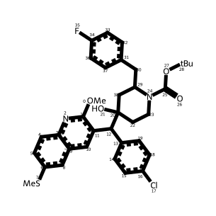 COc1nc2ccc(SC)cc2cc1C(c1ccc(Cl)cc1)C1(O)CCN(C(=O)OC(C)(C)C)C(Cc2ccc(F)cc2)C1